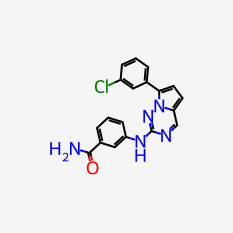 NC(=O)c1cccc(Nc2ncc3ccc(-c4cccc(Cl)c4)n3n2)c1